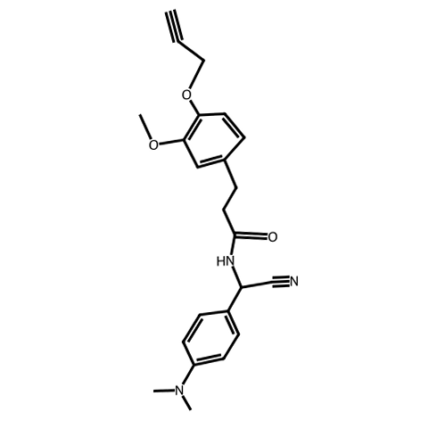 C#CCOc1ccc(CCC(=O)NC(C#N)c2ccc(N(C)C)cc2)cc1OC